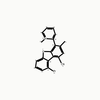 Cc1cc(C#N)c2c(oc3cccc(C(C)C)c32)c1-c1cccc[n+]1C